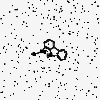 [Br][Mg][c]1cccc2c1[nH]c1ccccc12